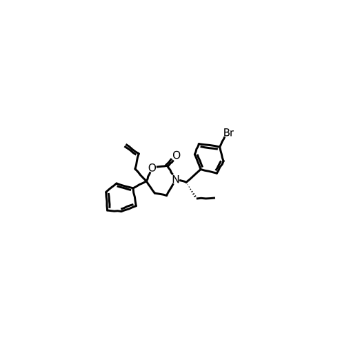 C=CCC1(c2ccccc2)CCN([C@@H](CC)c2ccc(Br)cc2)C(=O)O1